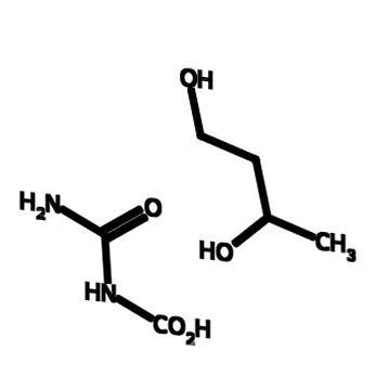 CC(O)CCO.NC(=O)NC(=O)O